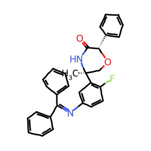 C[C@@]1(c2cc(N=C(c3ccccc3)c3ccccc3)ccc2F)CO[C@@H](c2ccccc2)C(=O)N1